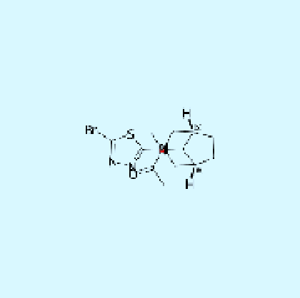 CC(=O)N(C)C1[C@@H]2CC[C@H]1CN(c1nnc(Br)s1)C2